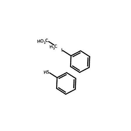 CC(=O)O.Ic1ccccc1.Sc1ccccc1